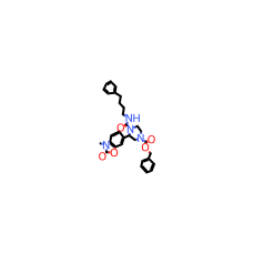 Cn1c(=O)oc2cc(C3CN(C(=O)OCc4ccccc4)CCN3C(=O)NCCCCc3ccccc3)ccc21